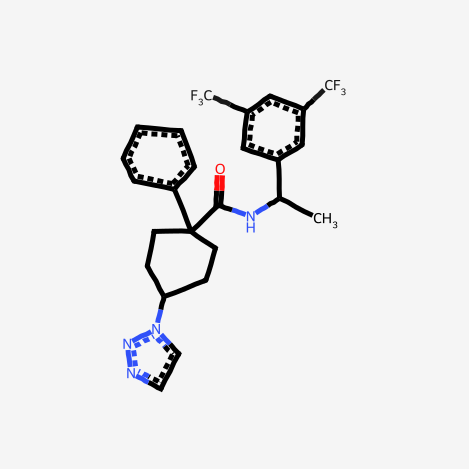 CC(NC(=O)C1(c2ccccc2)CCC(n2ccnn2)CC1)c1cc(C(F)(F)F)cc(C(F)(F)F)c1